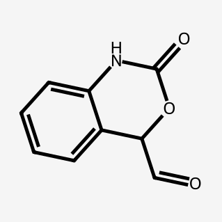 O=CC1OC(=O)Nc2ccccc21